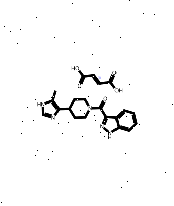 Cc1[nH]cnc1C1CCN(C(=O)c2n[nH]c3ccccc23)CC1.O=C(O)/C=C/C(=O)O